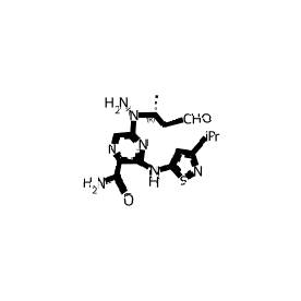 CC(C)c1cc(Nc2nc(N(N)[C@H](C)CC=O)cnc2C(N)=O)sn1